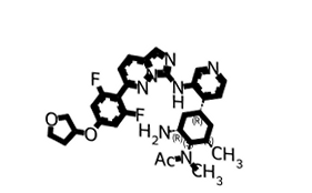 CC(=O)N(C)[C@@H]1[C@H](N)C[C@H](c2ccncc2Nc2ncc3ccc(-c4c(F)cc(OC5CCOC5)cc4F)nn23)C[C@@H]1C